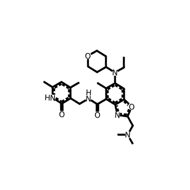 CCN(c1cc2oc(CN(C)C)nc2c(C(=O)NCc2c(C)cc(C)[nH]c2=O)c1C)C1CCOCC1